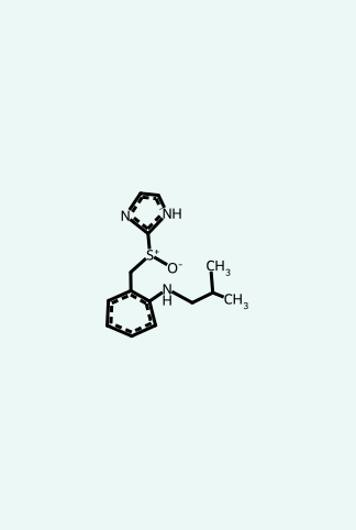 CC(C)CNc1ccccc1C[S+]([O-])c1ncc[nH]1